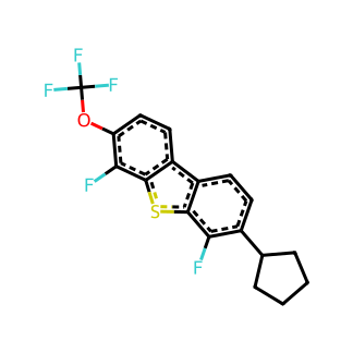 Fc1c(OC(F)(F)F)ccc2c1sc1c(F)c(C3CCCC3)ccc12